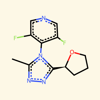 Cc1nnc([C@@H]2CCCO2)n1-c1c(F)cncc1F